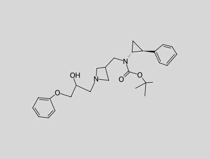 CC(C)(C)OC(=O)N(CC1CN(CC(O)COc2ccccc2)C1)[C@@H]1C[C@H]1c1ccccc1